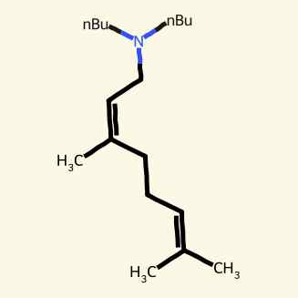 CCCCN(CC=C(C)CCC=C(C)C)CCCC